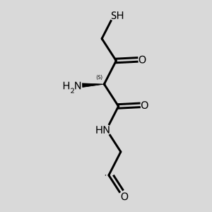 N[C@@H](C(=O)CS)C(=O)NC[C]=O